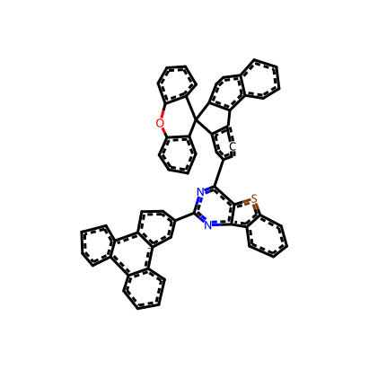 c1ccc2c(c1)Oc1ccccc1C21c2cc(-c3nc(-c4ccc5c6ccccc6c6ccccc6c5c4)nc4c3sc3ccccc34)ccc2-c2c1ccc1ccccc21